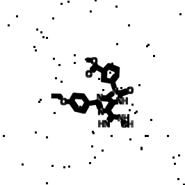 CCOc1ccc(-c2nc(C(=N)NO)c3[nH]c(=O)n(-c4cccc(C(=O)OC)c4)c3n2)cc1